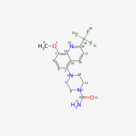 COc1ccc(N2CCN(C(N)=O)CC2)c2ccc(C(F)(F)F)nc12